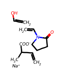 C=CC(C)C(=O)[O-].C=CN1CCCC1=O.C=CO.[Na+]